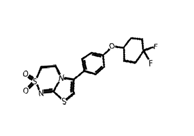 O=S1(=O)CCN2C(c3ccc(OC4CCC(F)(F)CC4)cc3)=CSC2=N1